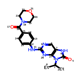 CCC(CC)n1c(=O)[nH]c2cnc(Nc3ccc(C(=O)N4CCOCC4)cc3)nc21